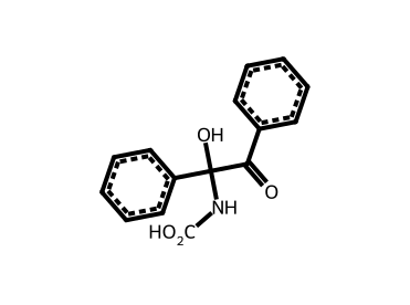 O=C(O)NC(O)(C(=O)c1ccccc1)c1ccccc1